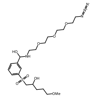 COCCCC(O)CS(=O)(=O)c1cccc(C(O)NCCOCCOCCOCCN=[N+]=[N-])c1